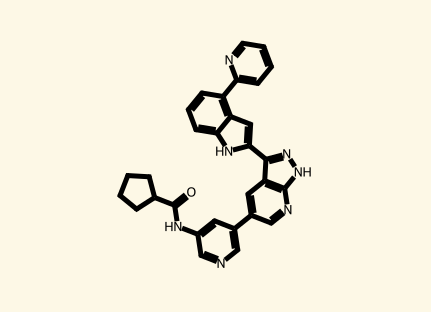 O=C(Nc1cncc(-c2cnc3[nH]nc(-c4cc5c(-c6ccccn6)cccc5[nH]4)c3c2)c1)C1CCCC1